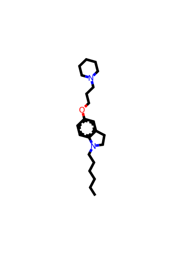 CCCCCCN1CCc2cc(OCCCN3CCCCC3)ccc21